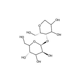 OCC1O[C@@H](O[C@H]2C(O)C(O)CO[C@H]2CO)[C@@H](O)C(O)[C@@H]1O